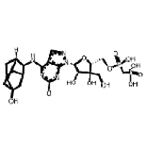 O=P(O)(O)CP(=O)(O)OC[C@H]1O[C@@H](n2ncc3c(NC4C5CC6C[C@H]4CC(O)(C6)C5)nc(Cl)nc32)[C@H](O)[C@@]1(O)CO